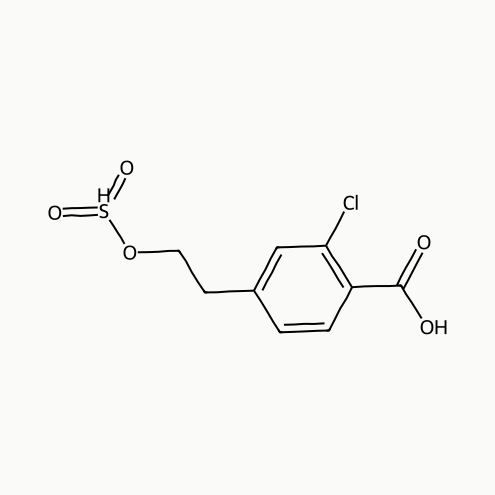 O=C(O)c1ccc(CCO[SH](=O)=O)cc1Cl